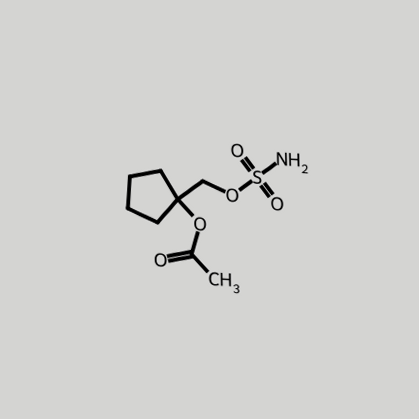 CC(=O)OC1(COS(N)(=O)=O)CCCC1